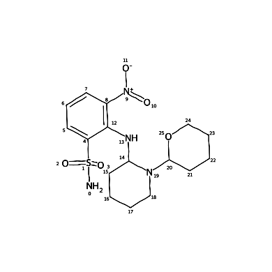 NS(=O)(=O)c1cccc([N+](=O)[O-])c1NC1CCCCN1C1CCCCO1